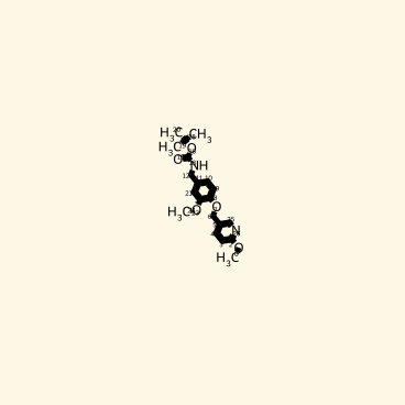 COc1ccc(COc2ccc(CNC(=O)OC(C)(C)C)cc2OC)cn1